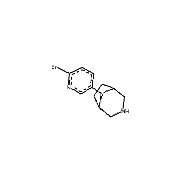 CCc1ccc(N2C3CCC2CNC3)cn1